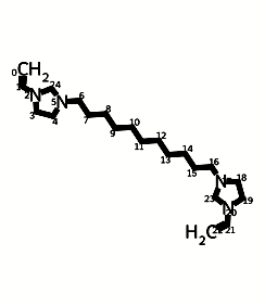 C=CN1CCN(CCCCCCCCCCCN2CCN(C=C)C2)C1